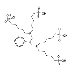 O=S(=O)(O)CCCCCP(CCCCCS(=O)(=O)O)CN(CP(CCCCCS(=O)(=O)O)CCCCCS(=O)(=O)O)c1ccccc1